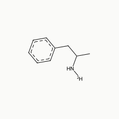 [2H]NC(C)Cc1ccccc1